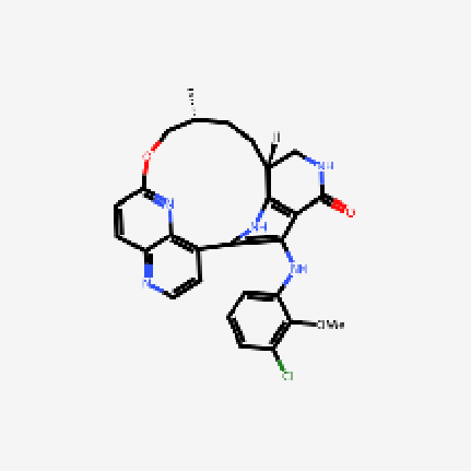 COc1c(Cl)cccc1Nc1c2[nH]c3c1C(=O)NC[C@H]3CC[C@@H](C)COc1ccc3nccc-2c3n1